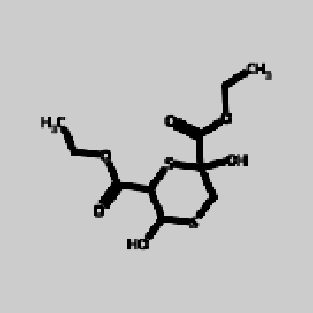 CCOC(=O)C1SC(O)(C(=O)OCC)CSC1O